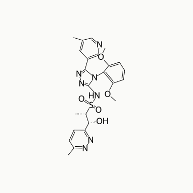 COc1cccc(OC)c1-n1c(NS(=O)(=O)[C@@H](C)[C@H](O)c2ccc(C)nn2)nnc1-c1cncc(C)c1